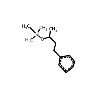 CC(CCc1ccccc1)O[Si](C)(C)C